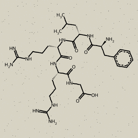 CC(C)C[C@H](NC(=O)[C@@H](N)Cc1ccccc1)C(=O)N[C@@H](CCCNC(=N)N)C(=O)N[C@@H](CCCNC(=N)N)C(=O)NCC(=O)O